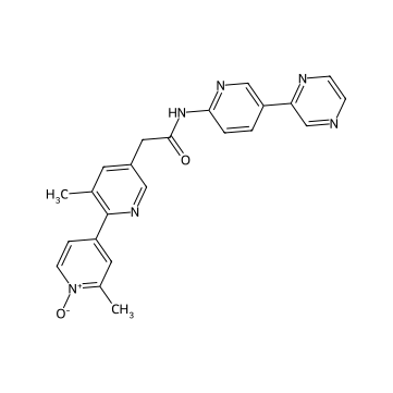 Cc1cc(CC(=O)Nc2ccc(-c3cnccn3)cn2)cnc1-c1cc[n+]([O-])c(C)c1